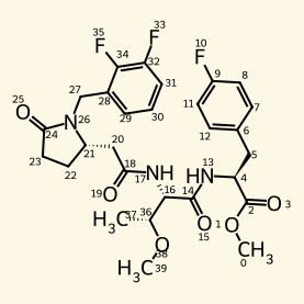 COC(=O)[C@H](Cc1ccc(F)cc1)NC(=O)[C@@H](NC(=O)C[C@@H]1CCC(=O)N1Cc1cccc(F)c1F)[C@@H](C)OC